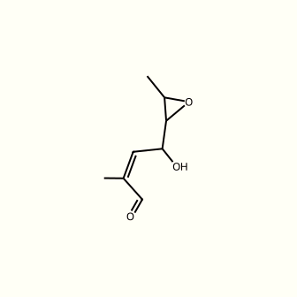 C/C(C=O)=C/C(O)C1OC1C